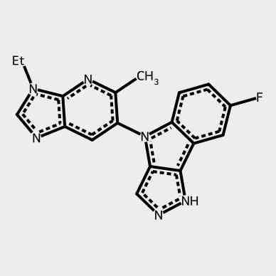 CCn1cnc2cc(-n3c4ccc(F)cc4c4[nH]ncc43)c(C)nc21